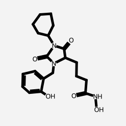 O=C(CCCC1C(=O)N(C2CCCCC2)C(=O)N1Cc1ccccc1O)NO